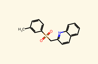 Cc1cccc(S(=O)(=O)Cc2ccc3ccccc3n2)c1